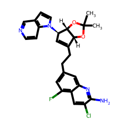 CC1(C)O[C@@H]2[C@H](O1)C(CCc1cc(F)c3cc(Cl)c(N)nc3c1)=C[C@H]2n1ccc2cnccc21